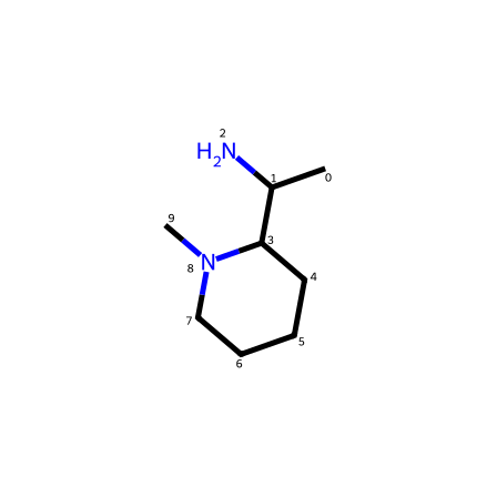 CC(N)C1CCCCN1C